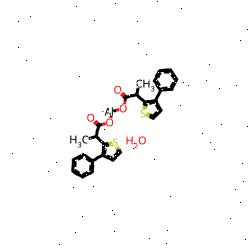 CC(C(=O)[O][Al][O]C(=O)C(C)c1sccc1-c1ccccc1)c1sccc1-c1ccccc1.O